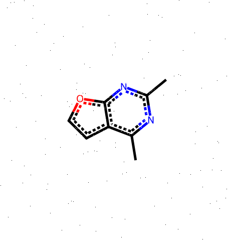 Cc1nc(C)c2ccoc2n1